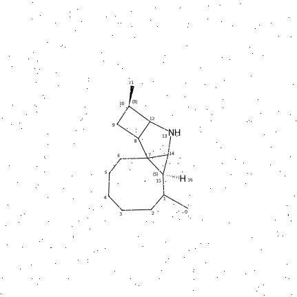 CC1CCCCCC23C4C[C@@H](C)C4NC2[C@@H]13